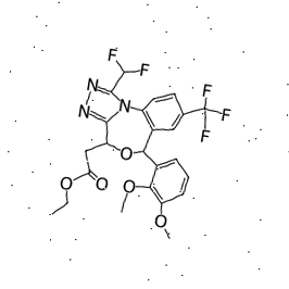 CCOC(=O)CC1OC(c2cccc(OC)c2OC)c2cc(C(F)(F)F)ccc2-n2c(C(F)F)nnc21